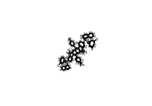 Cc1cccc(N(c2ccc3c(c2)C(C)(C)c2cc4c(-c5ccc(F)cc5)c5c(cc4c(-c4ccc(F)cc4)c2-3)C(C)(C)c2cc(N(c3cccc(C)c3)c3cccc4ccccc34)ccc2-5)c2cccc3ccccc23)c1